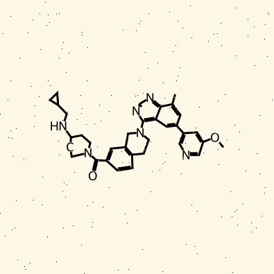 COc1cncc(-c2cc(C)c3ncnc(N4CCc5ccc(C(=O)N6CCC(NCC7CC7)CC6)cc5C4)c3c2)c1